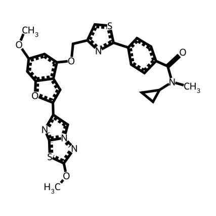 COc1cc(OCc2csc(-c3ccc(C(=O)N(C)C4CC4)cc3)n2)c2cc(-c3cn4nc(OC)sc4n3)oc2c1